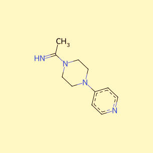 CC(=N)N1CCN(c2ccncc2)CC1